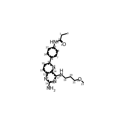 CCC(=O)Nc1ccc(-c2ccc3nc(N)nc(NCCCOC)c3n2)cc1